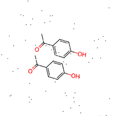 CC(=O)c1ccc(O)cc1.CC(=O)c1ccc(O)cc1